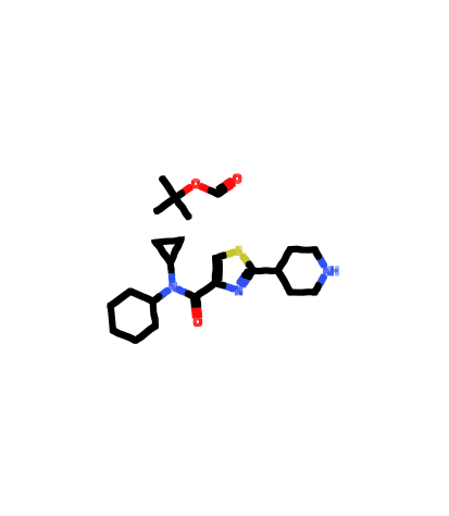 CC(C)(C)OC=O.O=C(c1csc(C2CCNCC2)n1)N(C1CCCCC1)C1CC1